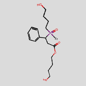 CCP(=O)(CCCCO)C(CC(=O)OCCCCO)c1ccccc1